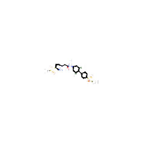 CCS(=O)(=O)c1ccc(CC(=O)Nc2cc(Cl)c(-c3ccc(S(C)(=O)=O)cc3)c(Cl)c2)nc1